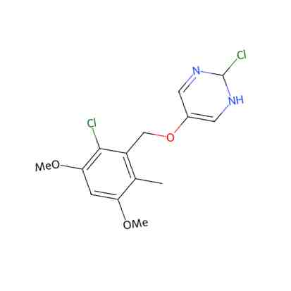 COc1cc(OC)c(Cl)c(COC2=CNC(Cl)N=C2)c1C